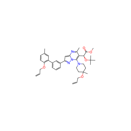 C=CCOc1ccc(C)cc1-c1cccc(-c2cc3nc(C)c([C@H](OC(C)(C)C)C(=O)OC)c(N4CCC(C)(OCC=C)CC4)n3n2)c1